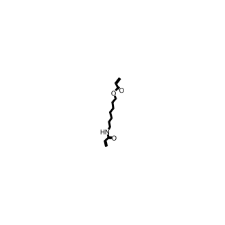 C=CC(=O)NCCCCCCCOC(=O)C=C